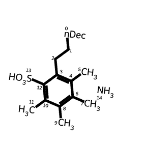 CCCCCCCCCCCCc1c(C)c(C)c(C)c(C)c1S(=O)(=O)O.N